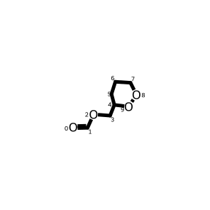 O=COCC1CCCOO1